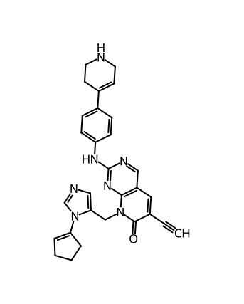 C#Cc1cc2cnc(Nc3ccc(C4=CCNCC4)cc3)nc2n(Cc2cncn2C2=CCCC2)c1=O